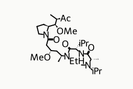 CCN(C(=O)[C@@H](NC(=O)[C@H](C)N(C)C(C)C)C(C)C)[C@@H](C)C[C@@H](CC(=O)N1CCC[C@H]1[C@H](OC)[C@@H](C)C(C)=O)OC